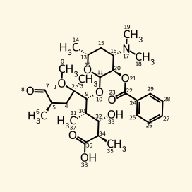 CO[C@](C)(C[C@@H](C)C=O)[C@H](OC1O[C@H](C)C[C@H](N(C)C)[C@H]1OC(=O)c1ccccc1)[C@@H](C)[C@H](O)[C@@H](C)C(=O)O